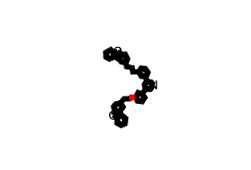 c1cc(CCCc2ccc3oc4ccccc4c3c2)cc(-c2cncc(-c3cccc(CCCc4ccc5oc6ccccc6c5c4)c3)c2)c1